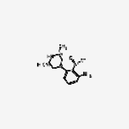 C[C@@H]1CN(c2cccc(N)c2[N+](=O)[O-])C[C@H](C)N1